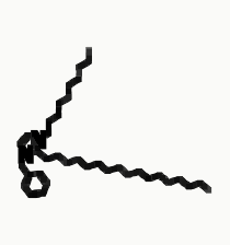 CCCCCCCCCCCCCCCCCC1N(CCCCCCCCCC)C=CN1Cc1ccccc1